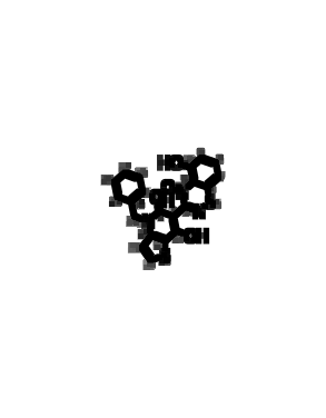 O=c1c(C2=NSc3cccc(O)c3N2O)c(O)c2sccc2n1Cc1ccccc1